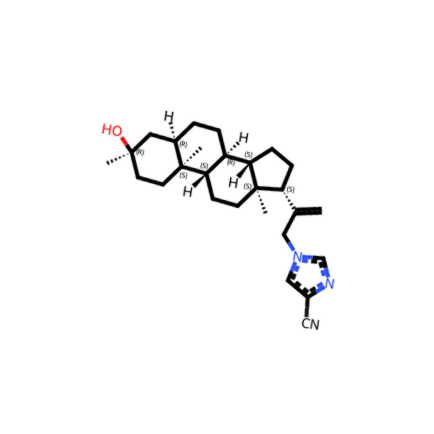 C=C(Cn1cnc(C#N)c1)[C@H]1CC[C@H]2[C@@H]3CC[C@@H]4C[C@](C)(O)CC[C@]4(C)[C@H]3CC[C@]12C